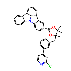 CC1(C)OB(c2ccc3c(c2)c2cccc4c5ccccc5n3c42)OC1(C)Cc1cccc(-c2ccnc(Cl)c2)c1